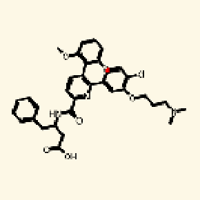 COc1cccc(OC)c1-c1ccc(C(=O)NC(CC(=O)O)Cc2ccccc2)nc1-c1ccc(Cl)c(OCCCN(C)C)c1